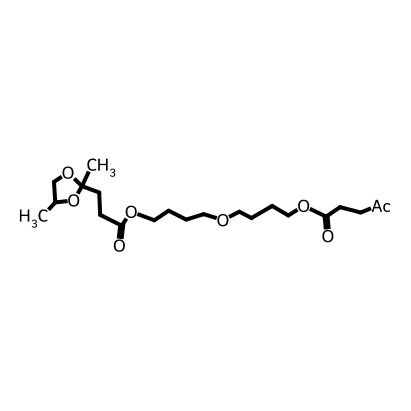 CC(=O)CCC(=O)OCCCCOCCCCOC(=O)CCC1(C)OCC(C)O1